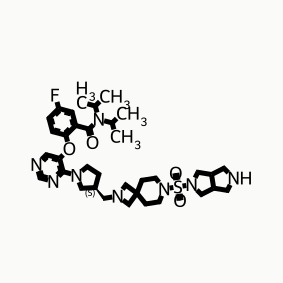 CC(C)N(C(=O)c1cc(F)ccc1Oc1cncnc1N1CC[C@@H](CN2CC3(CCN(S(=O)(=O)N4CC5CNCC5C4)CC3)C2)C1)C(C)C